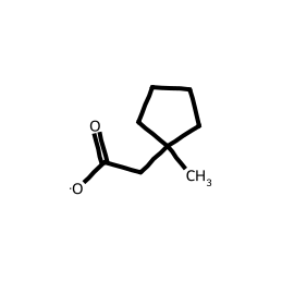 CC1(CC([O])=O)CCCC1